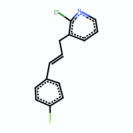 Fc1ccc(C=CCc2[c]ccnc2Cl)cc1